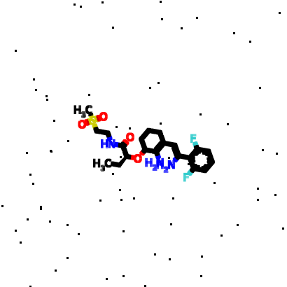 CC[C@H](OC1CCCC(/C=C(\N)c2c(F)cccc2F)=C1N)C(=O)NCCS(C)(=O)=O